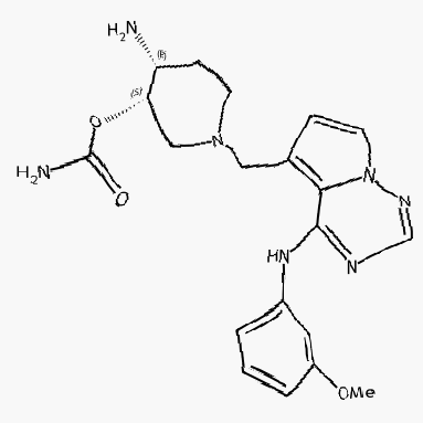 COc1cccc(Nc2ncnn3ccc(CN4CC[C@@H](N)[C@@H](OC(N)=O)C4)c23)c1